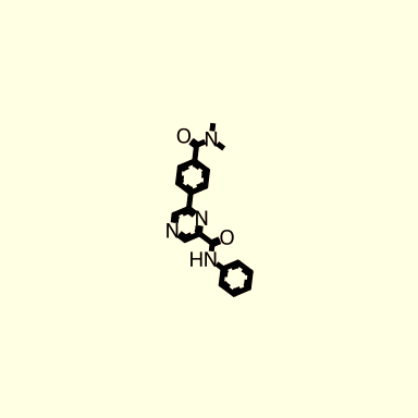 CN(C)C(=O)c1ccc(-c2cncc(C(=O)Nc3ccccc3)n2)cc1